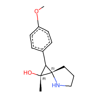 COc1ccc(C2[C@@]3(CCCN3)[C@]2(C)O)cc1